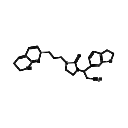 O=C(O)CC(c1ccc2c(c1)OCC2)N1CCN(CCCC2C=CC3=CCCNC3=N2)C1=O